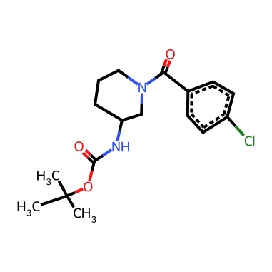 CC(C)(C)OC(=O)NC1CCCN(C(=O)c2ccc(Cl)cc2)C1